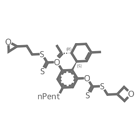 C=C(C)[C@@H]1CCC(C)=C[C@H]1c1c(OC(=S)SCCC2CO2)cc(CCCCC)cc1OC(=S)SCC1COC1